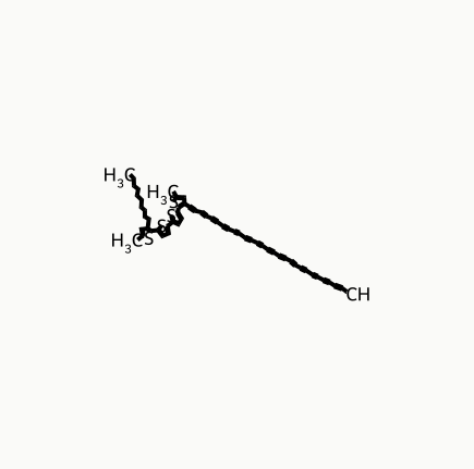 C#CC#CC#CC#CC#CC#CC#CC#CC#CC#CC#CC#CC#CC#CC#Cc1cc(C)sc1-c1ccc(-c2ccc(-c3sc(C)cc3CCCCCCCCCC)s2)s1